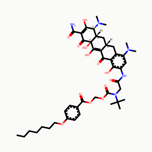 CCCCCCCOc1ccc(C(=O)OCOC(=O)N(CC(=O)Nc2cc(N(C)C)c3c(c2O)C(=O)C2=C(O)[C@]4(O)C(=O)C(C(N)=O)=C(O)[C@@H](N(C)C)[C@@H]4C[C@@H]2C3)C(C)(C)C)cc1